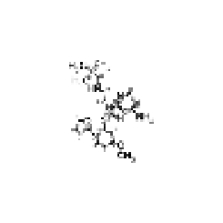 COc1ccc(-c2ccco2)c(Sc2nc3c(N)ncnc3n2CCNCC(C)(C)C)c1